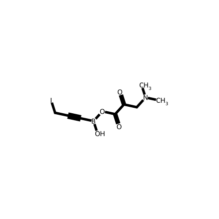 CN(C)CC(=O)C(=O)OB(O)C#CCI